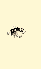 Cn1c(CC(=O)[O-])ccc1C(=O)c1ccc(Br)cc1.O.O.[Na+]